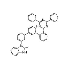 CC1Nc2ccccc2N1c1cccc(-c2cccc(-c3ccccc3C3N=C(c4ccccc4)N=C(c4ccccc4)N3)c2)c1